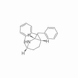 c1ccc(C[C@H]2N[C@@H]3CC[C@H]2Cc2ccccc2C3)cc1